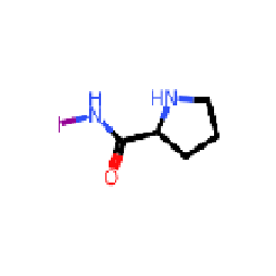 O=C(NI)C1CCCN1